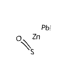 O=S.[Pb].[Zn]